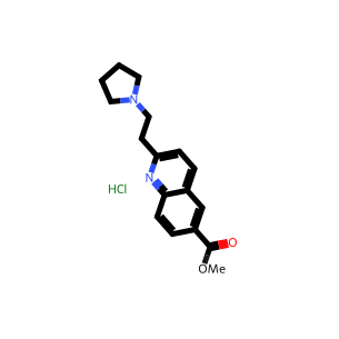 COC(=O)c1ccc2nc(CCN3CCCC3)ccc2c1.Cl